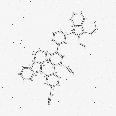 C=Cc1c(/C=C\C)c2ccccc2n1-c1cccc(-c2ccc(-c3ccc(C#N)cc3-n3c4ccccc4c4ccccc43)c(C#N)c2)c1